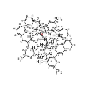 Cc1cc(C)cc(-c2cc3ccccc3c3c2OP(=NS(=O)(=O)C(F)(F)F)(N(C)P2(=NS(=O)(=O)C(F)(F)F)Oc4c(-c5cc(C)cc(C)c5)cc5ccccc5c4-c4c(c(-c5cc(C)cc(C)c5)cc5ccccc45)O2)Oc2c(-c4cc(C)cc(C)c4)cc4ccccc4c2-3)c1